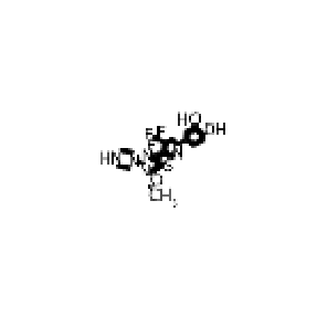 CCOc1nc(N2CCNCC2)nc2c1sc1nc(-c3ccc(O)c(O)c3)cc(C(F)(F)F)c12